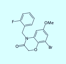 COc1cc(Br)c2c(c1)N(Cc1ccccc1F)C(=O)CO2